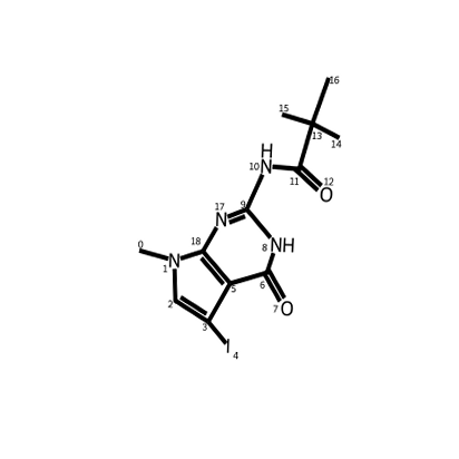 Cn1cc(I)c2c(=O)[nH]c(NC(=O)C(C)(C)C)nc21